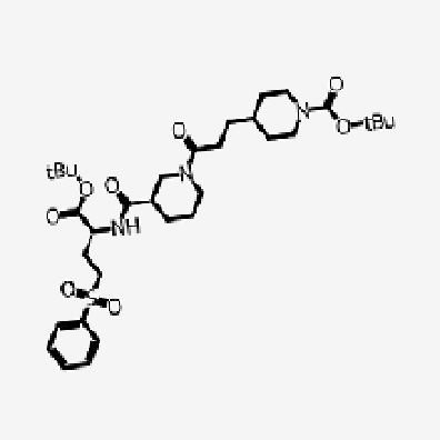 CC(C)(C)OC(=O)[C@H](CCS(=O)(=O)c1ccccc1)NC(=O)[C@@H]1CCCN(C(=O)CCC2CCN(C(=O)OC(C)(C)C)CC2)C1